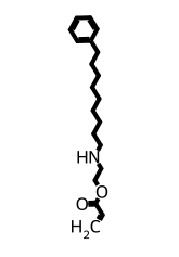 C=CC(=O)OCCNCCCCCCCCCc1ccccc1